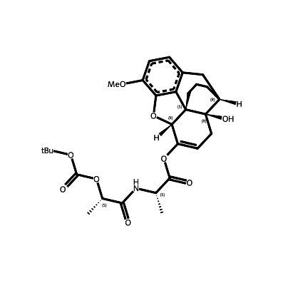 COc1ccc2c3c1O[C@H]1C(OC(=O)[C@H](C)NC(=O)[C@H](C)OC(=O)OC(C)(C)C)=CC[C@@]4(O)[C@H](CCC[C@]314)C2